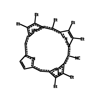 [C-]#[N+]c1c2nc(c(CC)c3[nH]c(cc4nc(cc5c(CC)c(CC)c1n5CC)C=C4)c(CC)c3CC)C(CC)=C2CC